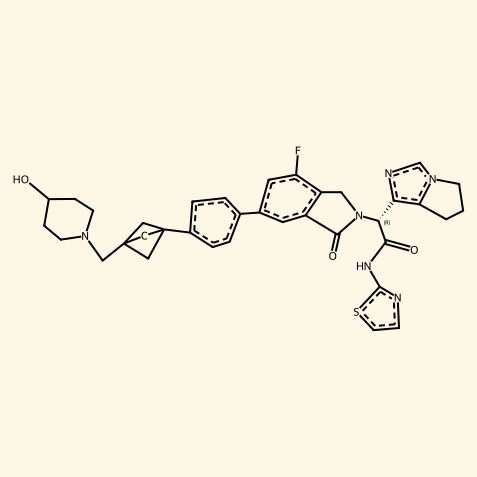 O=C(Nc1nccs1)[C@@H](c1ncn2c1CCC2)N1Cc2c(F)cc(-c3ccc(C45CC(CN6CCC(O)CC6)(C4)C5)cc3)cc2C1=O